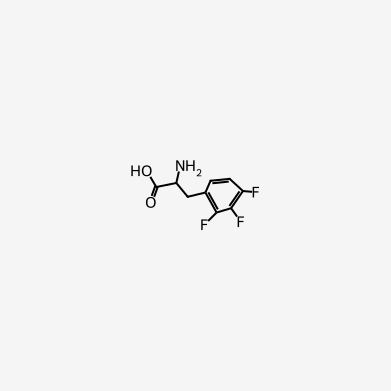 NC(Cc1ccc(F)c(F)c1F)C(=O)O